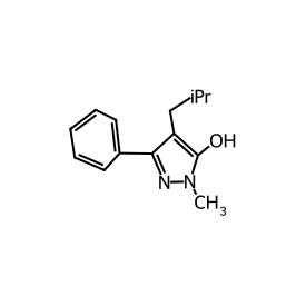 CC(C)Cc1c(-c2ccccc2)nn(C)c1O